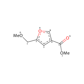 [CH2]OCc1cc(C(=O)OC)co1